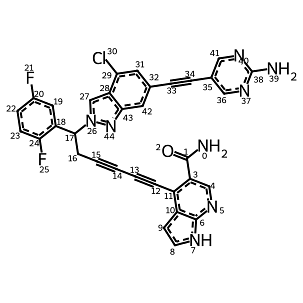 NC(=O)c1cnc2[nH]ccc2c1C#CC#CCC(c1cc(F)ccc1F)n1cc2c(Cl)cc(C#Cc3cnc(N)nc3)cc2n1